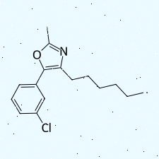 [CH2]CCCCCc1nc(C)oc1-c1cccc(Cl)c1